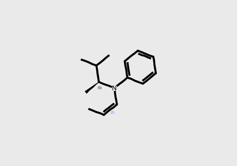 C/C=C\N(c1ccccc1)[C@@H](C)C(C)C